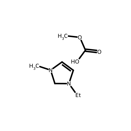 CCN1C=CN(C)C1.COC(=O)O